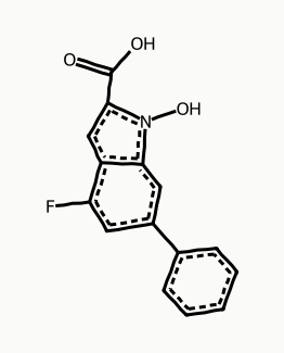 O=C(O)c1cc2c(F)cc(-c3ccccc3)cc2n1O